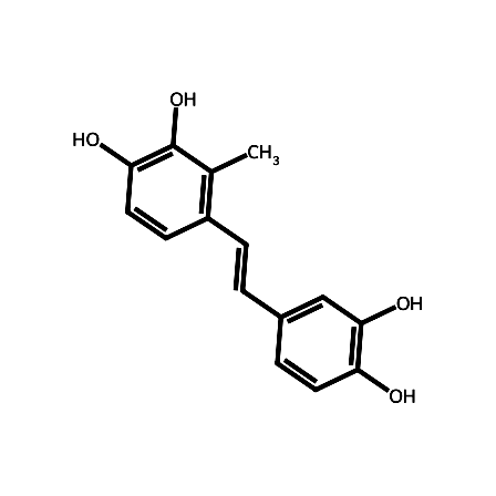 Cc1c(/C=C/c2ccc(O)c(O)c2)ccc(O)c1O